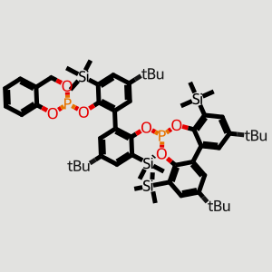 CC(C)(C)c1cc(-c2cc(C(C)(C)C)cc([Si](C)(C)C)c2Op2oc3c([Si](C)(C)C)cc(C(C)(C)C)cc3c3cc(C(C)(C)C)cc([Si](C)(C)C)c3o2)c(OP2OCc3ccccc3O2)c([Si](C)(C)C)c1